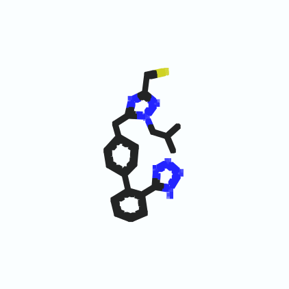 CC(C)Cn1nc(C=S)nc1Cc1ccc(-c2ccccc2-c2nnn[nH]2)cc1